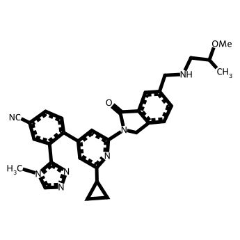 COC(C)CNCc1ccc2c(c1)C(=O)N(c1cc(-c3ccc(C#N)cc3-c3nncn3C)cc(C3CC3)n1)C2